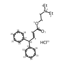 CCN(CC)CCOC(=O)/C=C/C(c1ccccc1)c1ccccc1.Cl